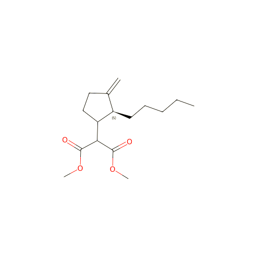 C=C1CCC(C(C(=O)OC)C(=O)OC)[C@@H]1CCCCC